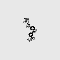 CNC(=O)OCCNc1ccc2ncc(-c3cccc(C(N)=O)c3)n2n1